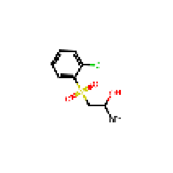 CCCC(O)CS(=O)(=O)c1ccccc1Cl